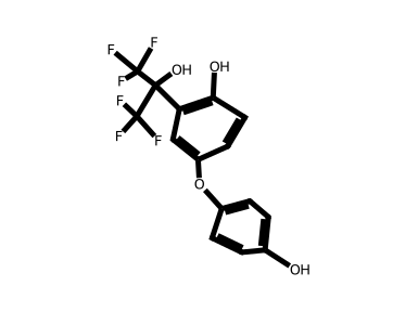 Oc1ccc(Oc2ccc(O)c(C(O)(C(F)(F)F)C(F)(F)F)c2)cc1